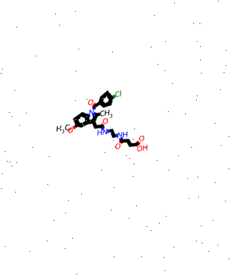 COc1ccc2c(c1)c(CC(=O)NCCNC(=O)CCC(=O)O)c(C)n2C(=O)c1ccc(Cl)cc1